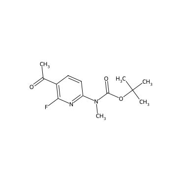 CC(=O)c1ccc(N(C)C(=O)OC(C)(C)C)nc1F